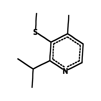 CSc1c(C)ccnc1C(C)C